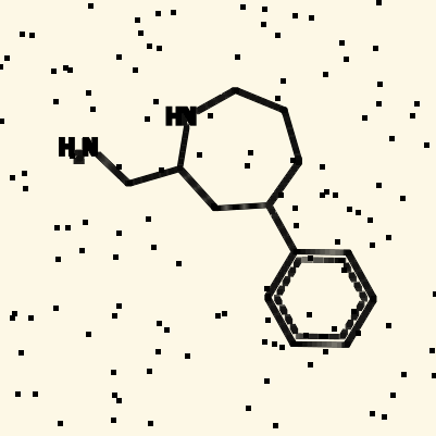 NCC1CC(c2ccccc2)CCCN1